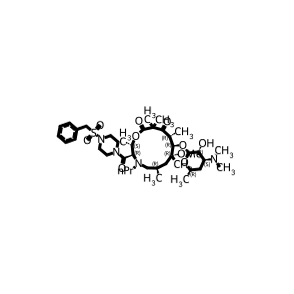 CCCN1C[C@H](C)C[C@@](C)(OC)[C@H](O[C@@H]2O[C@H](C)C[C@H](N(C)C)[C@H]2O)[C@@H](C)C(=O)C(C)(C)C(=O)O[C@@H](C)[C@@H]1C(=O)N1CCN(S(=O)(=O)Cc2ccccc2)CC1